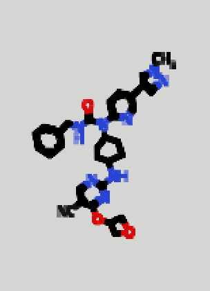 Cn1cc(-c2ccc(N(C(=O)NCc3ccccc3)C3CCC(Nc4ncc(C#N)c(OC5COC5)n4)CC3)nc2)cn1